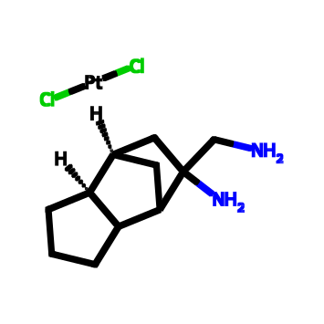 NCC1(N)C[C@H]2CC1C1CCC[C@H]12.[Cl][Pt][Cl]